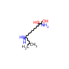 C=CC(C)CCCC1(CCCCCCCC/C=C/[C@@H](O)[C@@H](N)CO)NN1